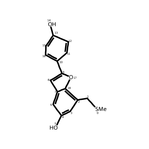 CSCc1cc(O)cc2cc(-c3ccc(O)cc3)oc12